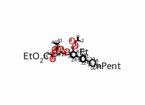 C=C(C)C(=O)OCc1cc(-c2ccc(C3CCC(CCCCC)CC3)cc2CC)ccc1OCC(COC(=O)CC(=O)OCC)OC(=O)C(=C)C